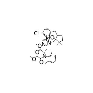 CC1(C)CCC(Cc2ccc(Cl)cc2)C1(O)Cn1cncn1.COCC(=O)N(c1c(C)cccc1C)C(C)C(=O)OC